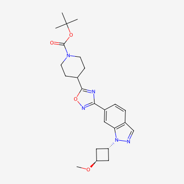 CO[C@H]1C[C@H](n2ncc3ccc(-c4noc(C5CCN(C(=O)OC(C)(C)C)CC5)n4)cc32)C1